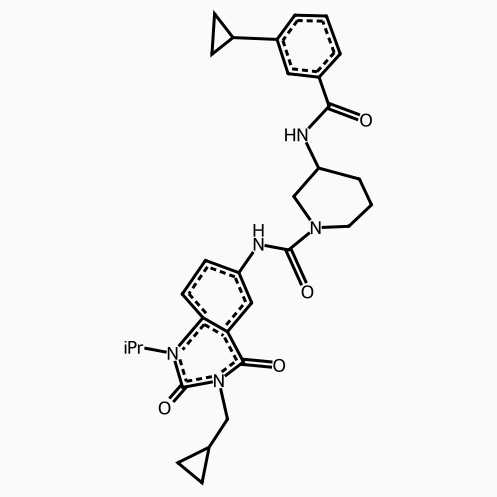 CC(C)n1c(=O)n(CC2CC2)c(=O)c2cc(NC(=O)N3CCCC(NC(=O)c4cccc(C5CC5)c4)C3)ccc21